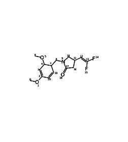 COC1=CC(OC)C(CN2CC(C=C(F)F)CC2=O)C=C1